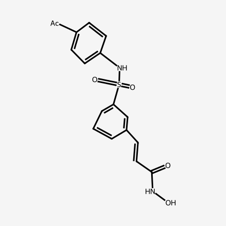 CC(=O)c1ccc(NS(=O)(=O)c2cccc(/C=C/C(=O)NO)c2)cc1